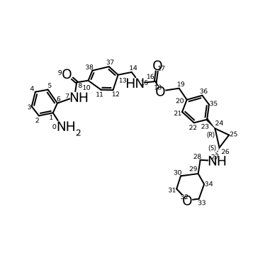 Nc1ccccc1NC(=O)c1ccc(CNC(=O)OCc2ccc([C@H]3C[C@@H]3NCC3CCOCC3)cc2)cc1